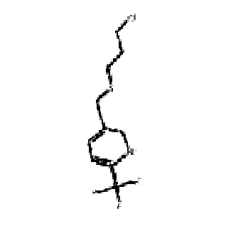 FC(F)(F)C1=CC=C(CSCCCCl)CN1